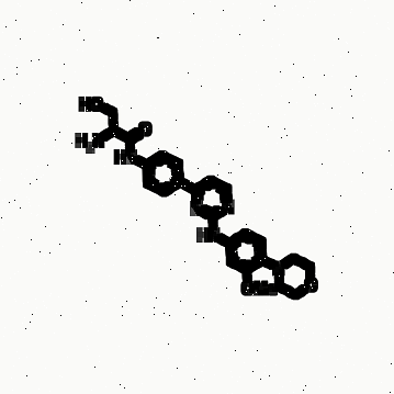 COc1cc(Nc2nccc(-c3ccc(NC(=O)C(N)CO)cc3)n2)ccc1N1CCOCC1